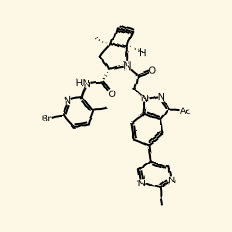 CC(=O)c1nn(CC(=O)N2[C@H](C(=O)Nc3nc(Br)ccc3C)C[C@@]3(C)C#C[C@@H]23)c2ccc(-c3cnc(C)nc3)cc12